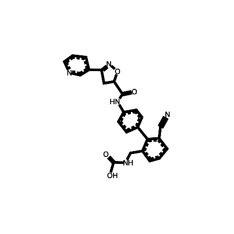 N#Cc1cccc(CNC(=O)O)c1-c1ccc(NC(=O)C2CC(c3cccnc3)=NO2)cc1